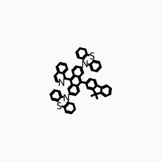 CC1(C)c2ccccc2-c2ccc(-c3c4cc(N5C6=C(CCC=C6)Sc6ccccc65)ccc4c(-c4nccc5ccccc45)c4cc(N5C6=C(C=CCC6)Sc6ccccc65)ccc34)cc21